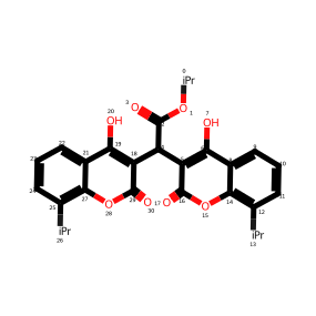 CC(C)OC(=O)C(c1c(O)c2cccc(C(C)C)c2oc1=O)c1c(O)c2cccc(C(C)C)c2oc1=O